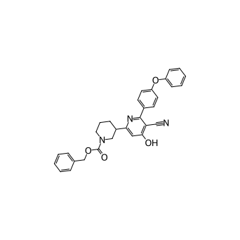 N#Cc1c(O)cc(C2CCCN(C(=O)OCc3ccccc3)C2)nc1-c1ccc(Oc2ccccc2)cc1